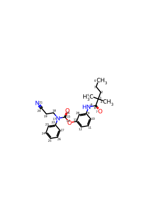 CCCC(C)(C)C(=O)Nc1cccc(OC(=O)N(CCC#N)c2ccccc2)c1